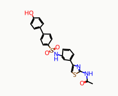 CC(=O)Nc1nc(-c2cccc(NS(=O)(=O)c3ccc(-c4ccc(O)cc4)cc3)c2)cs1